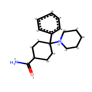 NC(=O)C1CCC(c2ccccc2)(N2CCCCC2)CC1